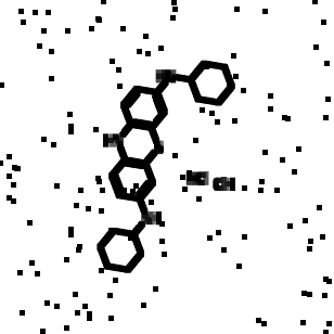 Cl.Cl.c1cc2c(cc1NC1CCCCC1)Sc1cc(NC3CCCCC3)ccc1N2